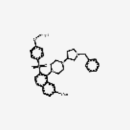 CCCCCCCOc1ccc(S(=O)(=O)c2cnc3ccc(SC)cc3c2N2CCN(C3CCN(Cc4ccccc4)C3)CC2)cc1